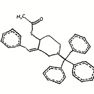 CC(=O)SC1CCN(C(c2ccccc2)(c2ccccc2)c2ccccc2)CC1=Cc1ccccc1